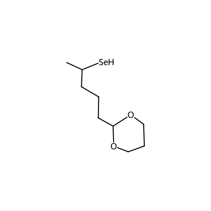 CC([SeH])CCCC1OCCCO1